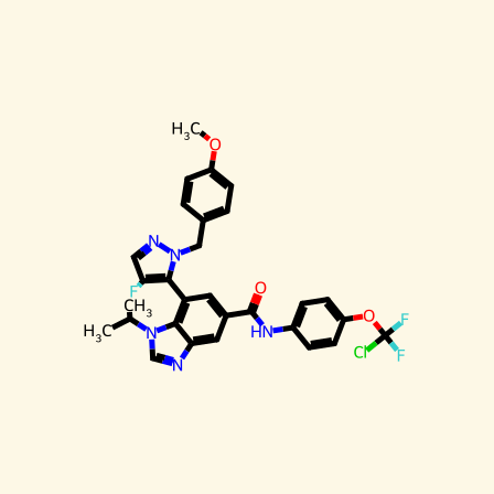 COc1ccc(Cn2ncc(F)c2-c2cc(C(=O)Nc3ccc(OC(F)(F)Cl)cc3)cc3ncn(C(C)C)c23)cc1